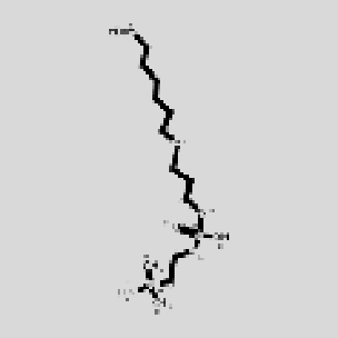 CCCCCCCCCCCCCCCCOCCCOP(=O)(O)OCC[N+](C)(C)C